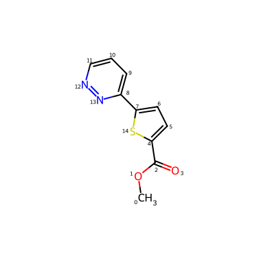 COC(=O)c1ccc(-c2cccnn2)s1